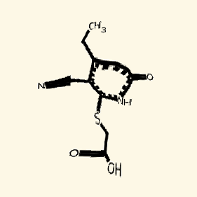 CCc1cc(=O)[nH]c(SCC(=O)O)c1C#N